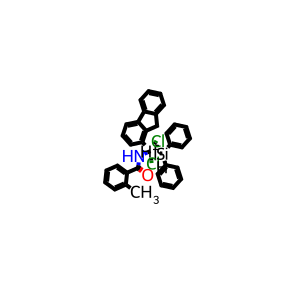 Cc1ccccc1C(=O)[NH][Hf]([Cl])([Cl])([c]1cccc2c1Cc1ccccc1-2)[SiH](c1ccccc1)c1ccccc1